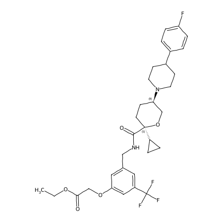 CCOC(=O)COc1cc(CNC(=O)[C@@]2(C3CC3)CC[C@@H](N3CCC(c4ccc(F)cc4)CC3)CO2)cc(C(F)(F)F)c1